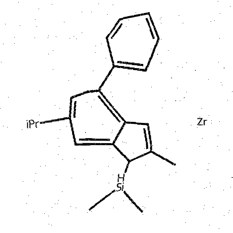 CC1=Cc2c(-c3ccccc3)cc(C(C)C)cc2C1[SiH](C)C.[Zr]